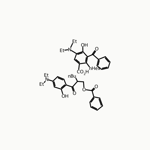 CCCCC(COC(=O)c1ccccc1)C(=O)c1ccc(N(CC)CC)cc1O.CCCCCCc1c(C(=O)O)cc(N(CC)CC)c(O)c1C(=O)c1ccccc1